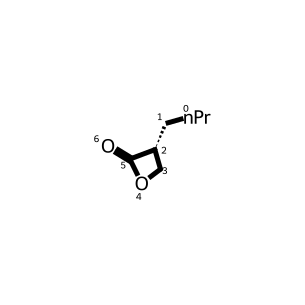 CCCC[C@@H]1COC1=O